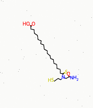 NC(=O)CN(CCCS)C(=S)CCCCCCCCCCCCCCCCCCCC(=O)O